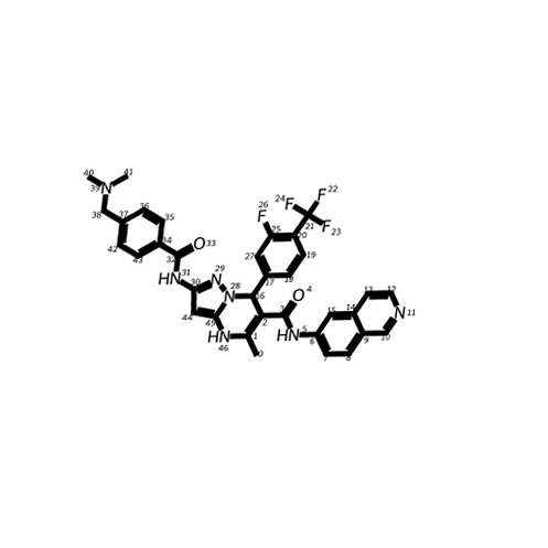 CC1=C(C(=O)Nc2ccc3cnccc3c2)C(c2ccc(C(F)(F)F)c(F)c2)n2nc(NC(=O)c3ccc(CN(C)C)cc3)cc2N1